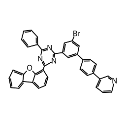 Brc1cc(-c2ccc(-c3cccnc3)cc2)cc(-c2nc(-c3ccccc3)nc(-c3cccc4c3oc3ccccc34)n2)c1